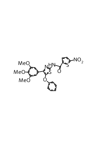 COc1cc(-c2nc(NC(=O)c3ccc([N+](=O)[O-])s3)sc2Oc2ccccc2)cc(OC)c1OC